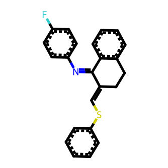 Fc1ccc(N=C2/C(=C/Sc3ccccc3)CCc3ccccc32)cc1